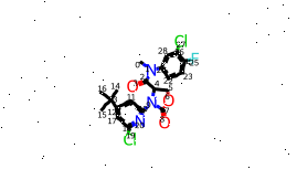 CN(C(=O)C1COC(=O)N1c1cc(C(C)(C)C)cc(Cl)n1)c1ccc(F)c(Cl)c1